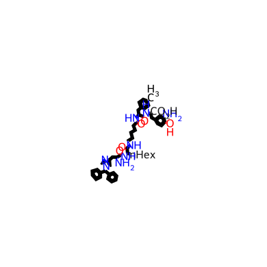 CCCCCCC(NC(=O)C(N)Cc1cn(C(c2ccccc2)c2ccccc2)cn1)C(=O)NCCCCCC(=O)NC(Cc1ccc(C)cc1)C(=O)NC(Cc1ccc(O)c(N)c1)C(=O)O